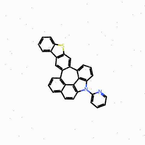 c1ccc(-n2c3cccc4c3c3c5c(cccc5ccc32)-c2cc3c(cc2-4)sc2ccccc23)nc1